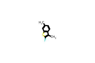 Cc1ccc2c(C)c(F)sc2c1